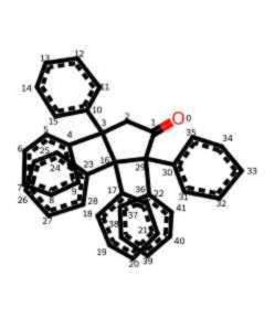 O=C1CC(c2ccccc2)(c2ccccc2)C(c2ccccc2)(c2ccccc2)C1(c1ccccc1)c1ccccc1